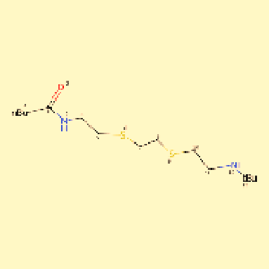 CCCCC(=O)NCCSCCSCCNC(C)(C)C